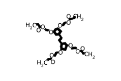 C=CC(=O)O/C=C/Oc1cc(/C=C/c2cc(O/C=C/OC(=O)C=C)cc(O/C=C/OC(=O)C=C)c2)cc(O/C=C/OC(=O)C=C)c1